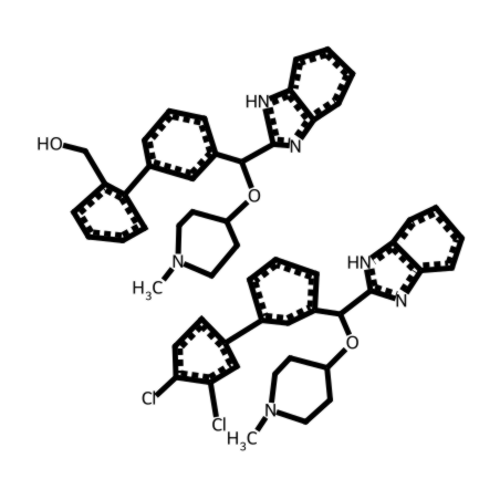 CN1CCC(OC(c2cccc(-c3ccc(Cl)c(Cl)c3)c2)c2nc3ccccc3[nH]2)CC1.CN1CCC(OC(c2cccc(-c3ccccc3CO)c2)c2nc3ccccc3[nH]2)CC1